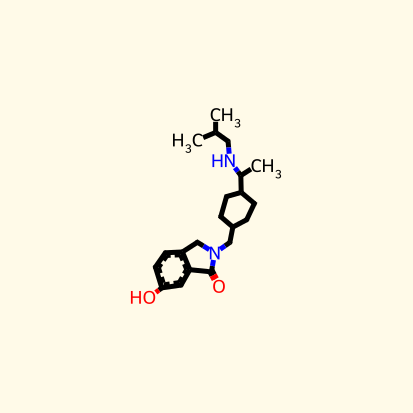 CC(C)CNC(C)C1CCC(CN2Cc3ccc(O)cc3C2=O)CC1